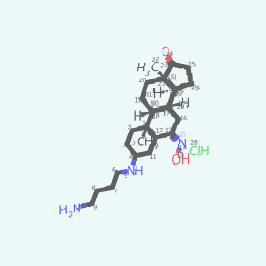 C[C@]12CCC(NCCCCN)CC1/C(=N\O)C[C@@H]1[C@H]2CC[C@]2(C)C(=O)CC[C@@H]12.Cl